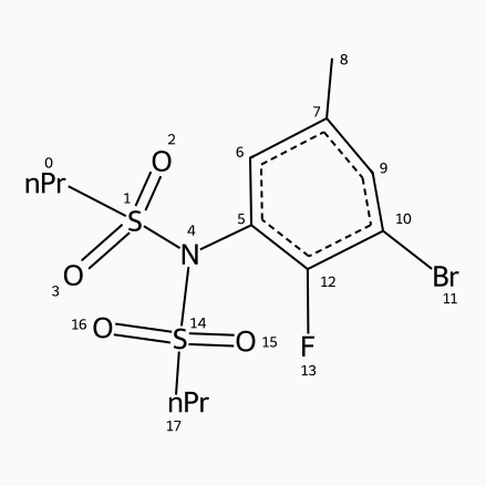 CCCS(=O)(=O)N(c1cc(C)cc(Br)c1F)S(=O)(=O)CCC